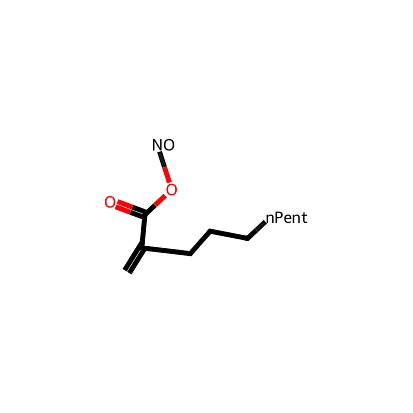 C=C(CCCCCCCC)C(=O)ON=O